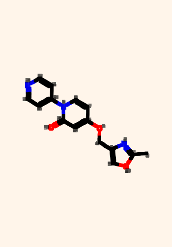 Cc1nc(COc2ccn(-c3ccncc3)c(=O)c2)co1